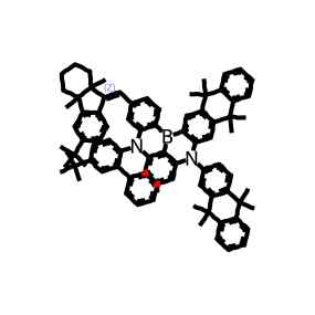 Cc1cc2c3c(c1)N(c1ccc(C(C)(C)C)cc1-c1ccccc1)c1cc(/C=C4\c5ccc(C(C)(C)C)cc5C5(C)CCCCC45C)ccc1B3c1cc3c(cc1N2c1ccc2c(c1)C(C)(C)c1ccccc1C2(C)C)C(C)(C)c1ccccc1C3(C)C